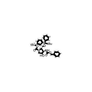 CC(C)(C)OC(=O)N1C[C@H](O)[C@H](NC(=O)OCc2ccccc2)[C@H]1CO[Si](c1ccccc1)(c1ccccc1)C(C)(C)C